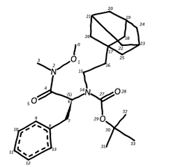 CON(C)C(=O)[C@H](Cc1ccccc1)N(CCC12CC3CC(CC(C3)C1)C2)C(=O)OC(C)(C)C